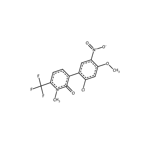 COc1cc(Cl)c(-c2ccc(C(F)(F)F)n(C)c2=O)cc1[N+](=O)[O-]